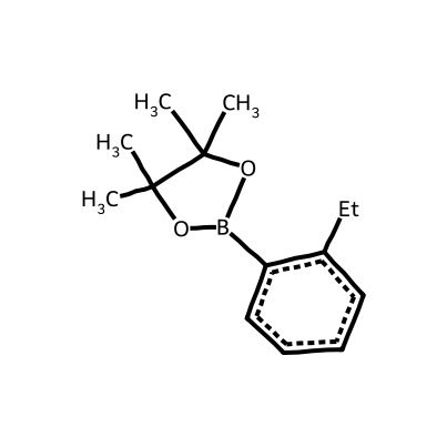 CCc1ccccc1B1OC(C)(C)C(C)(C)O1